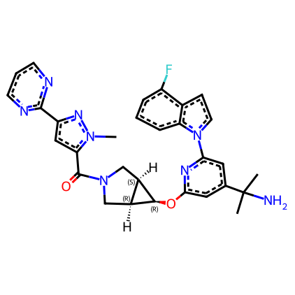 Cn1nc(-c2ncccn2)cc1C(=O)N1C[C@@H]2[C@H](C1)[C@@H]2Oc1cc(C(C)(C)N)cc(-n2ccc3c(F)cccc32)n1